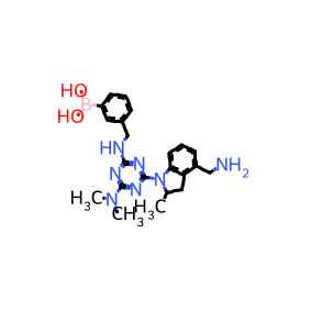 CC1Cc2c(CN)cccc2N1c1nc(NCc2cccc(B(O)O)c2)nc(N(C)C)n1